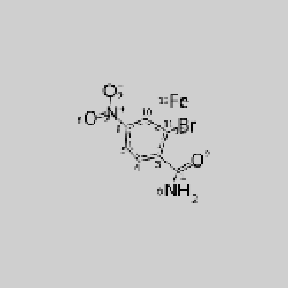 NC(=O)c1ccc([N+](=O)[O-])cc1Br.[Fe]